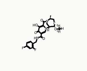 [2H]C([2H])([2H])O[C@H]1CC[C@H](C)N2C[C@H]1n1cc(C(=O)NCc3ccc(F)cc3F)c(=O)c(O)c1C2=O